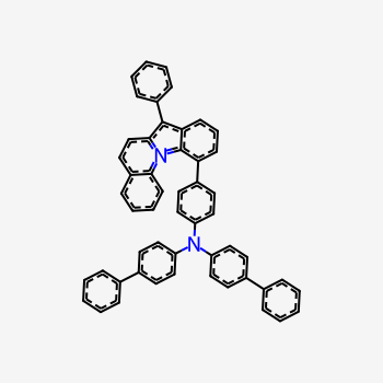 c1ccc(-c2ccc(N(c3ccc(-c4ccccc4)cc3)c3ccc(-c4cccc5c(-c6ccccc6)c6ccc7ccccc7n6c45)cc3)cc2)cc1